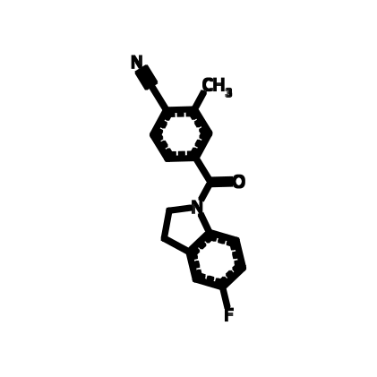 Cc1cc(C(=O)N2CCc3cc(F)ccc32)ccc1C#N